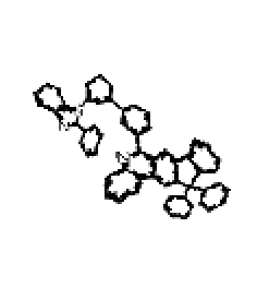 c1ccc(-c2nc3ccccc3n2-c2cccc(-c3cccc(-c4nc5ccccc5c5cc6c(cc45)-c4ccccc4C6(c4ccccc4)c4ccccc4)c3)c2)cc1